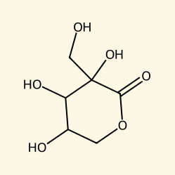 O=C1OCC(O)C(O)C1(O)CO